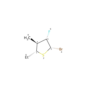 CC[C@H]1S[C@@H](Br)[C@@H](F)[C@@H]1C